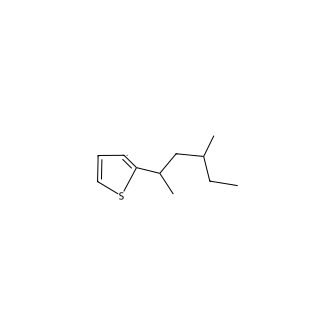 CCC(C)CC(C)c1[c]ccs1